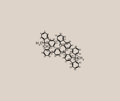 CC1(C)c2ccccc2-c2cccc(-c3ccccc3-c3ccc(N(c4ccc5c(c4)C(C)(c4ccccc4)c4ccccc4-5)c4cccc5c4oc4ccccc45)cc3)c21